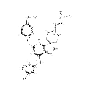 CC(=O)Nc1ccc(Sc2nc(Nc3cc(C)[nH]n3)c3c(n2)C2(CC3)CCN(CCN(C)C)CC2)cc1